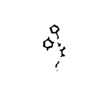 CN(C)CCNC(=O)c1csc(N2Cc3ccccc3Oc3ccc(Cl)cc32)n1